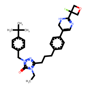 CCn1c(CCCc2ccc(C3=CN=C(C4(F)COC4)NC3)cc2)nn(Cc2ccc(C(C)(C)C)cc2)c1=O